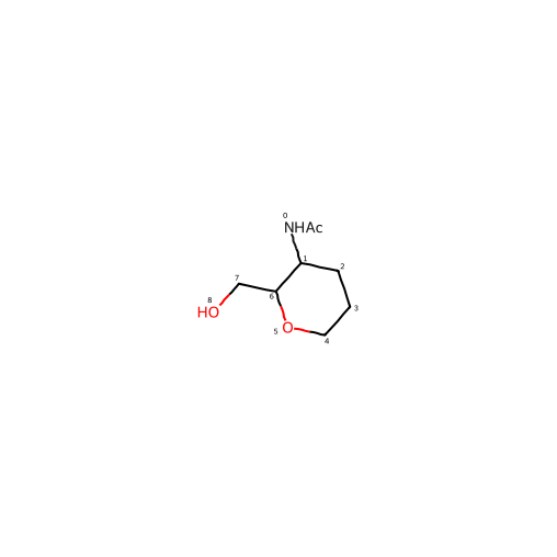 CC(=O)NC1CCCOC1CO